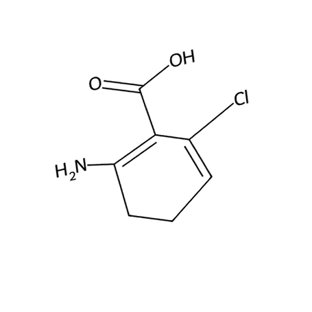 NC1=C(C(=O)O)C(Cl)=CCC1